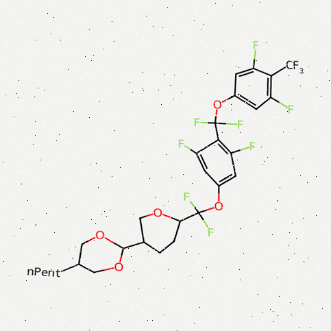 CCCCCC1COC(C2CCC(C(F)(F)Oc3cc(F)c(C(F)(F)Oc4cc(F)c(C(F)(F)F)c(F)c4)c(F)c3)OC2)OC1